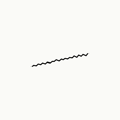 [CH2]CCCCCC/C=C/CCCCCCCCCCCCCCCC[CH2]